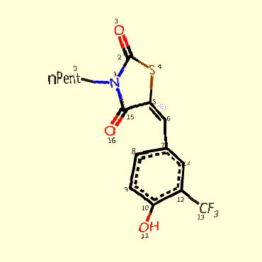 CCCCCN1C(=O)S/C(=C/c2ccc(O)c(C(F)(F)F)c2)C1=O